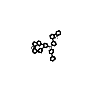 c1ccc(-c2ccc(N(c3cccc(-c4cccc5c4oc4ccccc45)c3)c3ccc(-c4ccc5ccc6oc7ccccc7c6c5c4)c(-c4ccccc4)c3)cc2)cc1